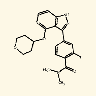 CN(C)C(=O)c1ccc(-c2n[nH]c3ccnc(OC4CCOCC4)c23)cc1F